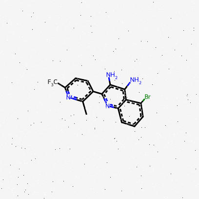 Cc1nc(C(F)(F)F)ccc1-c1nc2cccc(Br)c2c(N)c1N